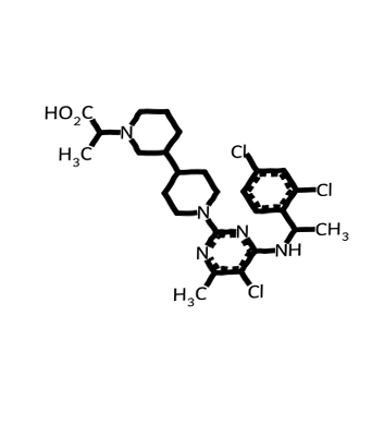 Cc1nc(N2CCC(C3CCCN(C(C)C(=O)O)C3)CC2)nc(NC(C)c2ccc(Cl)cc2Cl)c1Cl